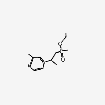 CCOP(C)(=O)CC(C)c1ccnc(C)c1